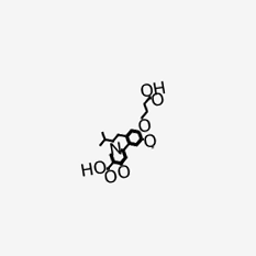 COc1cc2c(cc1OCCCC(=O)O)CC(C(C)C)n1cc(C(=O)O)c(=O)cc1-2